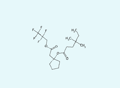 CCC(C)(C)CCC(=O)OC1(CC(=O)OCC(F)(F)C(F)(F)F)CCCC1